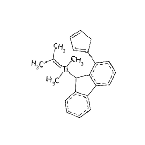 C[C](C)=[Ti]([CH3])([CH3])[CH]1c2ccccc2-c2cccc(C3=CC=CC3)c21